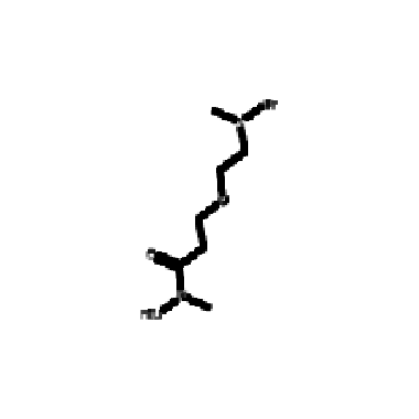 CCCCN(C)C(=O)CCOCCN(C)C(C)C